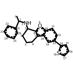 CC(NC1CCCc2c1oc1ccc(-c3cccs3)cc21)c1ccccc1